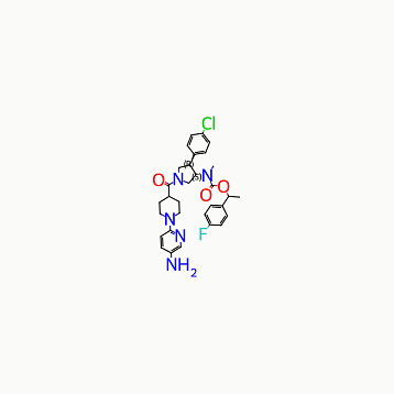 CC(OC(=O)N(C)[C@@H]1CN(C(=O)C2CCN(c3ccc(N)cn3)CC2)C[C@H]1c1ccc(Cl)cc1)c1ccc(F)cc1